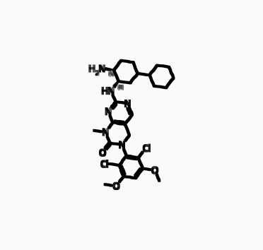 COc1cc(OC)c(Cl)c(N2Cc3cnc(N[C@@H]4CC(C5CCCCC5)CC[C@@H]4N)nc3N(C)C2=O)c1Cl